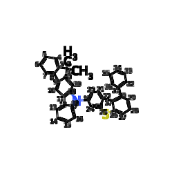 CC1(C)c2ccccc2-c2cc3c4ccccc4n(-c4ccc5c(c4)sc4cccc(-c6ccccc6)c45)c3cc21